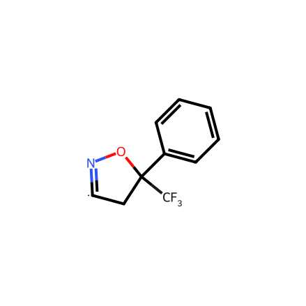 FC(F)(F)C1(c2ccccc2)C[C]=NO1